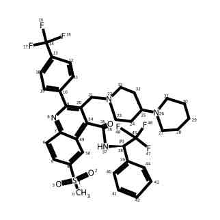 CS(=O)(=O)c1ccc2nc(-c3ccc(C(F)(F)F)cc3)c(CN3CCC(N4CCCCC4)CC3)c(C(=O)N[C@H](c3ccccc3)C(F)(F)F)c2c1